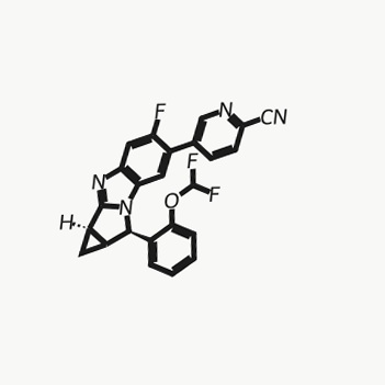 N#Cc1ccc(-c2cc3c(cc2F)nc2n3[C@@H](c3ccccc3OC(F)F)C3C[C@@H]23)cn1